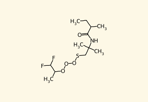 CCC(C)C(=O)NC(C)(C)CSOOOC(C)C(F)F